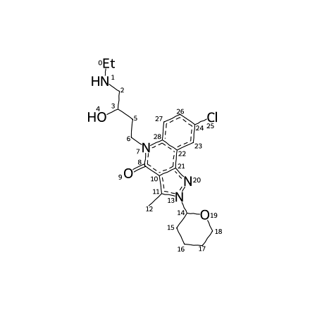 CCNCC(O)CCn1c(=O)c2c(C)n(C3CCCCO3)nc2c2cc(Cl)ccc21